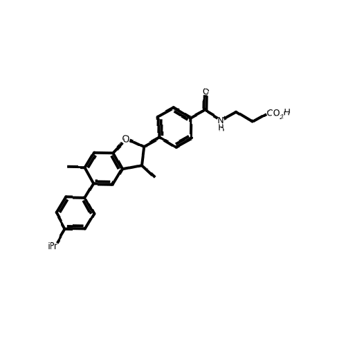 Cc1cc2c(cc1-c1ccc(C(C)C)cc1)C(C)C(c1ccc(C(=O)NCCC(=O)O)cc1)O2